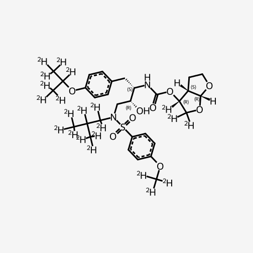 [2H]C([2H])([2H])Oc1ccc(S(=O)(=O)N(C[C@@H](O)[C@H](Cc2ccc(OC([2H])(C([2H])([2H])[2H])C([2H])([2H])[2H])cc2)NC(=O)O[C@]2([2H])[C@@H]3CCO[C@@H]3OC2([2H])[2H])C([2H])([2H])C([2H])(C([2H])([2H])[2H])C([2H])([2H])[2H])cc1